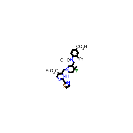 CCOC(=O)C1=C(CN2CCC(C)(F)C(CN(C=O)c3ccc(C(=O)O)cc3C(C)C)C2)NC(c2nccs2)=NC1